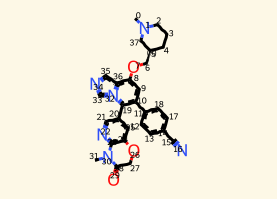 CN1CCC[C@@H](COc2cc(-c3ccc(C#N)cc3)c(-c3cnc4c(c3)OCC(=O)N4C)n3cncc23)C1